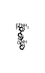 Nc1ncc(-c2ccc3nc(NC(=O)c4ccccn4)cn3c2)cc1C(F)(F)F